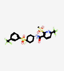 CS(=O)(=O)c1nc(C(F)(F)F)ccc1C(=O)N[C@H]1CC[C@](F)(S(=O)(=O)c2cccc(C(F)(F)F)c2)CC1